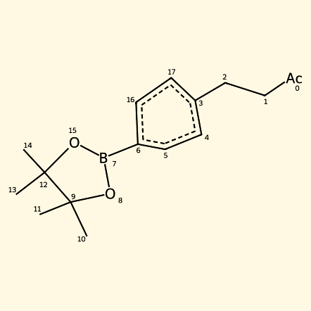 CC(=O)CCc1ccc(B2OC(C)(C)C(C)(C)O2)cc1